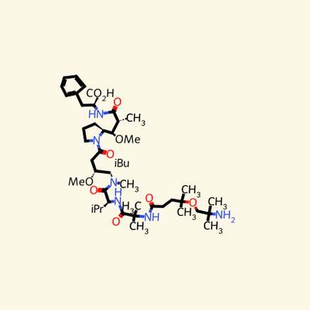 CC[C@H](C)[C@@H]([C@@H](CC(=O)N1CCC[C@H]1[C@H](OC)[C@@H](C)C(=O)N[C@@H](Cc1ccccc1)C(=O)O)OC)N(C)C(=O)[C@@H](NC(=O)C(C)(C)NC(=O)CCC(C)(C)OCC(C)(C)N)C(C)C